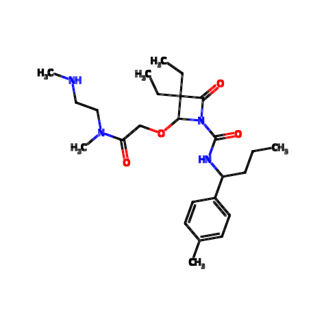 CCCC(NC(=O)N1C(=O)C(CC)(CC)C1OCC(=O)N(C)CCNC)c1ccc(C)cc1